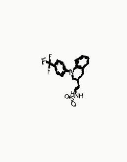 O=[SH](=O)NC=CC1Cc2ccccc2N(c2ccc(C(F)(F)F)cc2)C1